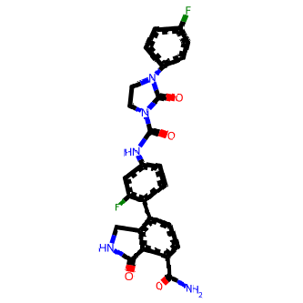 NC(=O)c1ccc(-c2ccc(NC(=O)N3CCN(c4ccc(F)cc4)C3=O)cc2F)c2c1C(=O)NC2